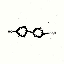 O=C(O)c1ccc(-c2ccc(O)cc2)cn1